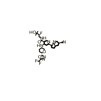 CC(C)(O)[C@H](F)CNC(=O)c1cnc(-c2ccc3cc(C#N)cnn23)cc1N[C@@H]1CC[C@@H](c2nnc(C(F)F)o2)OC1